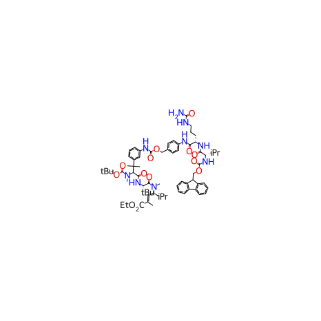 CCOC(=O)/C(C)=C/[C@H](C(C)C)N(C)C(=O)[C@@H](NC(=O)[C@@H](N(C)C(=O)OC(C)(C)C)C(C)(C)c1cccc(NC(=O)OCc2ccc(NC(=O)[C@H](CCCNC(N)=O)NC(=O)[C@@H](NC(=O)OCC3c4ccccc4-c4ccccc43)C(C)C)cc2)c1)C(C)(C)C